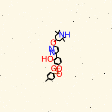 Cc1ccc(S(=O)(=O)Oc2ccc(-c3ccc(OC4CC(C)(C)NC(C)(C)C4)nn3)c(O)c2)cc1